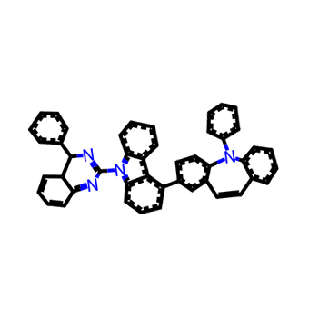 C1=CC2=NC(n3c4ccccc4c4c(-c5ccc6c(c5)C=Cc5ccccc5N6c5ccccc5)cccc43)=NC(c3ccccc3)C2C=C1